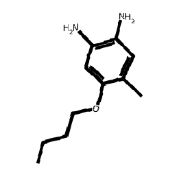 CCCCOc1cc(N)c(N)cc1C